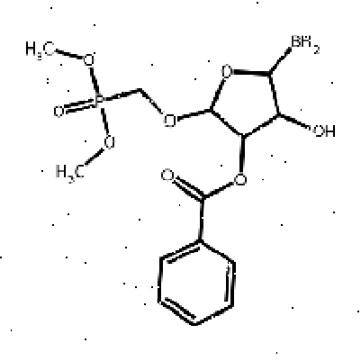 BC1OC(OCP(=O)(OC)OC)C(OC(=O)c2ccccc2)C1O